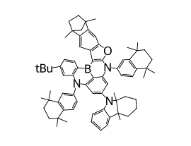 CC(C)(C)c1ccc2c(c1)N(c1ccc3c(c1)C(C)(C)CCC3(C)C)c1cc(N3c4ccccc4C4(C)CCCCC34C)cc3c1B2c1c(oc2cc4c(cc12)C1(C)CCC4(C)C1)N3c1ccc2c(c1)C(C)(C)CCC2(C)C